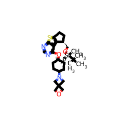 CC(C)(C)[Si](C)(C)OC[C@H]1CCc2sc3ncnc(OC4CCC(N5CC6(COC6)C5)CC4)c3c21